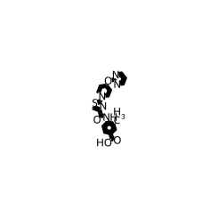 Cc1cc(C(=O)O)ccc1NC(=O)c1csc(N2CCC(Oc3ncccn3)CC2)n1